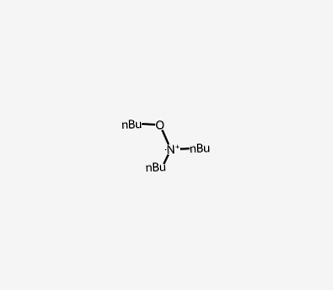 CCCCO[N+](CCCC)CCCC